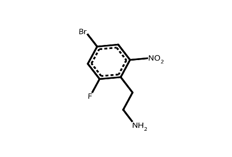 NCCc1c(F)cc(Br)cc1[N+](=O)[O-]